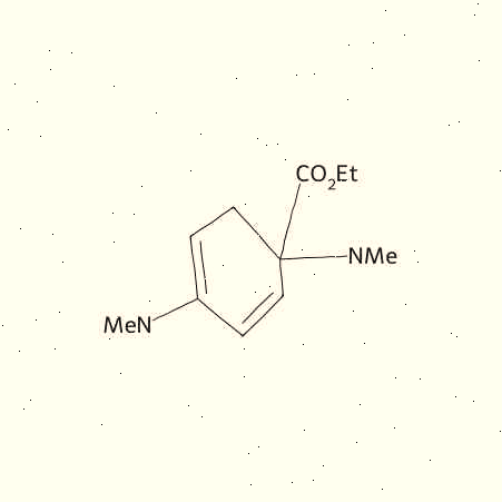 CCOC(=O)C1(NC)C=CC(NC)=CC1